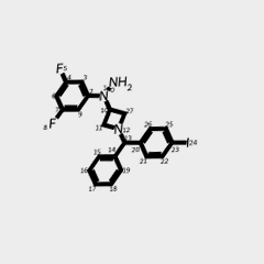 NN(c1cc(F)cc(F)c1)C1CN(C(c2ccccc2)c2ccc(I)cc2)C1